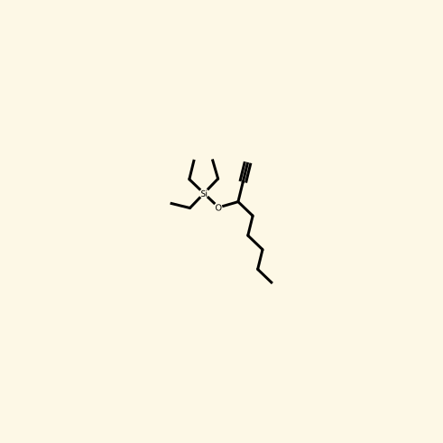 C#CC(CCCCC)O[Si](CC)(CC)CC